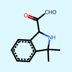 CC1(C)NC(C(=O)C=O)c2ccccc21